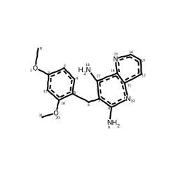 COc1ccc(Cc2c(N)nc3cccnc3c2N)c(OC)c1